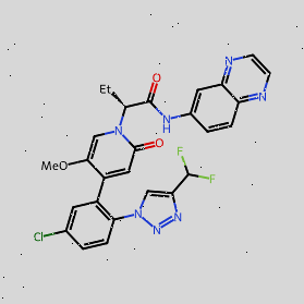 CC[C@@H](C(=O)Nc1ccc2nccnc2c1)n1cc(OC)c(-c2cc(Cl)ccc2-n2cc(C(F)F)nn2)cc1=O